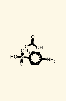 CC(=O)O.Nc1ccc(S(=O)(=O)O)cc1